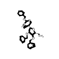 CC[C@H]1O[C@@H](c2cnc(OCc3ccccc3)nc2)[C@@H](OCc2ccccc2)C1OCc1ccccc1